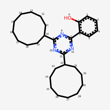 Oc1ccccc1-c1nc(C2CCCCCCCCC2)nc(C2CCCCCCCCC2)n1